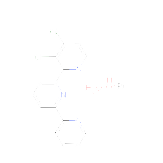 Clc1ccnc(-c2cccc(-c3ccccn3)n2)c1Cl.O.O.[Pt]